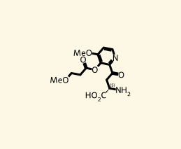 COCCC(=O)Oc1c(OC)ccnc1C(=O)C[C@H](N)C(=O)O